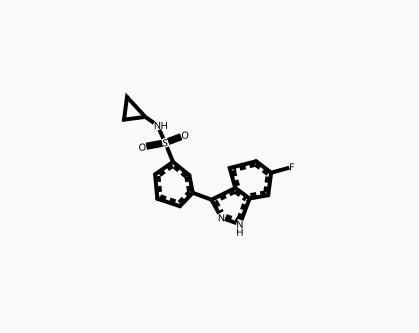 O=S(=O)(NC1CC1)c1cccc(-c2n[nH]c3cc(F)ccc23)c1